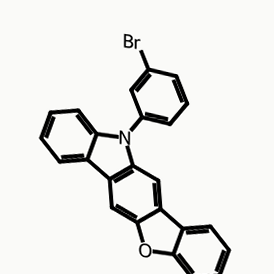 Brc1cccc(-n2c3ccccc3c3cc4oc5ccccc5c4cc32)c1